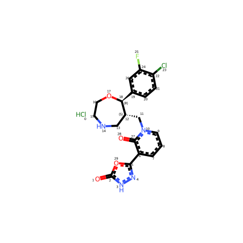 Cl.O=c1[nH]nc(-c2cccn(C[C@@H]3CNCCO[C@H]3c3ccc(Cl)c(F)c3)c2=O)o1